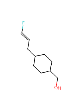 OCC1CCC(CC=CF)CC1